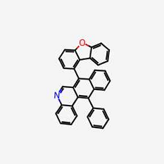 c1ccc(-c2c3ccccc3c(-c3cccc4oc5ccccc5c34)c3cnc4ccccc4c23)cc1